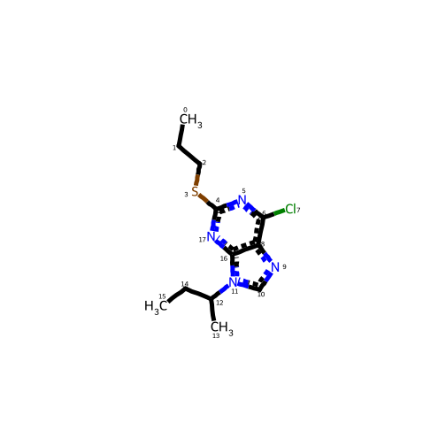 CCCSc1nc(Cl)c2ncn(C(C)CC)c2n1